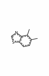 Cc1ccc2scnc2c1C